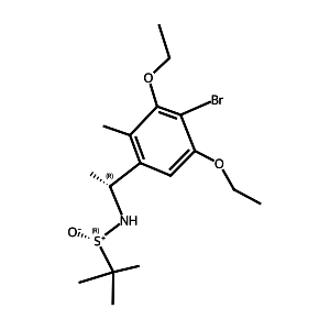 CCOc1cc([C@@H](C)N[S@@+]([O-])C(C)(C)C)c(C)c(OCC)c1Br